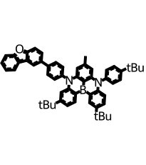 Cc1cc2c3c(c1)N(c1ccc(-c4ccc5oc6ccccc6c5c4)cc1)c1cc(C(C)(C)C)ccc1B3c1cc(C(C)(C)C)ccc1N2c1ccc(C(C)(C)C)cc1